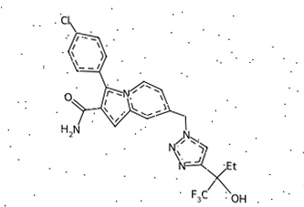 CCC(O)(c1cn(Cc2ccn3c(-c4ccc(Cl)cc4)c(C(N)=O)cc3c2)nn1)C(F)(F)F